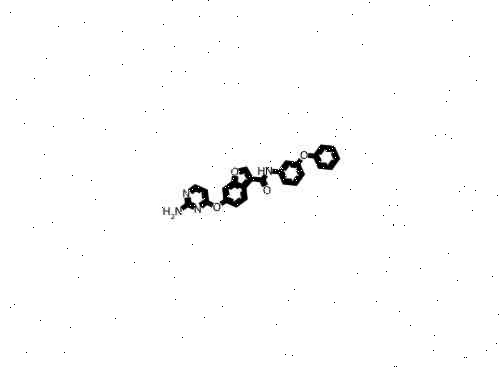 Nc1nccc(Oc2ccc3c(C(=O)Nc4cccc(Oc5ccccc5)c4)coc3c2)n1